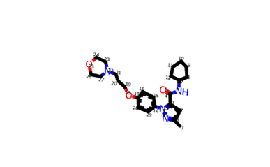 Cc1cc(C(=O)NC2CCCCC2)n(-c2ccc(OCCCN3CCOCC3)cc2)n1